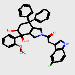 COc1ccccc1C1(O)C(O)CC(c2ccccc2)(c2ccccc2)C2CN(C(=O)Cc3c[nH]c4ccc(F)cc34)CC21